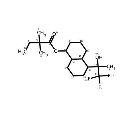 CCC(C)(C)C(=O)OC1CCCC2C1CCCC2C(C)(O)C(F)(F)F